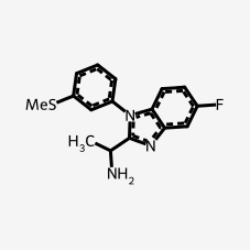 CSc1cccc(-n2c(C(C)N)nc3cc(F)ccc32)c1